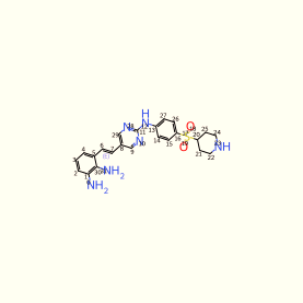 Nc1cccc(/C=C/c2cnc(Nc3ccc(S(=O)(=O)C4CCNCC4)cc3)nc2)c1N